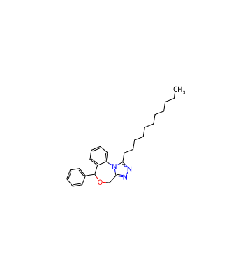 CCCCCCCCCCCc1nnc2n1-c1ccccc1C(c1ccccc1)OC2